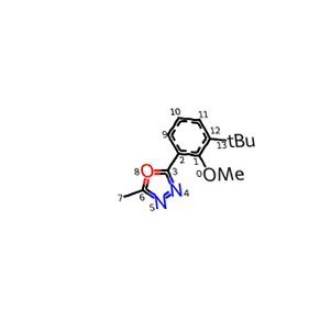 COc1c(-c2nnc(C)o2)cccc1C(C)(C)C